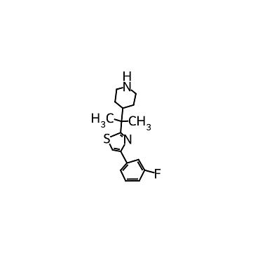 CC(C)(c1nc(-c2cccc(F)c2)cs1)C1CCNCC1